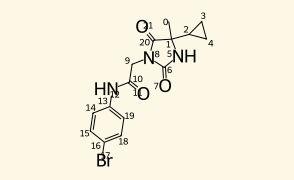 CC1(C2CC2)NC(=O)N(CC(=O)Nc2ccc(Br)cc2)C1=O